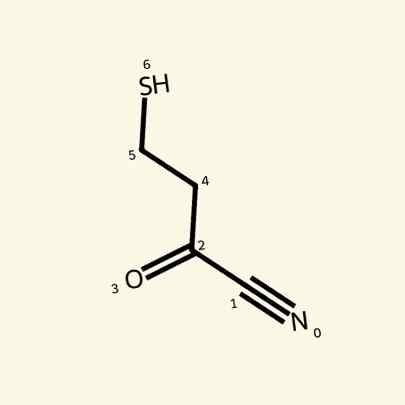 N#CC(=O)CCS